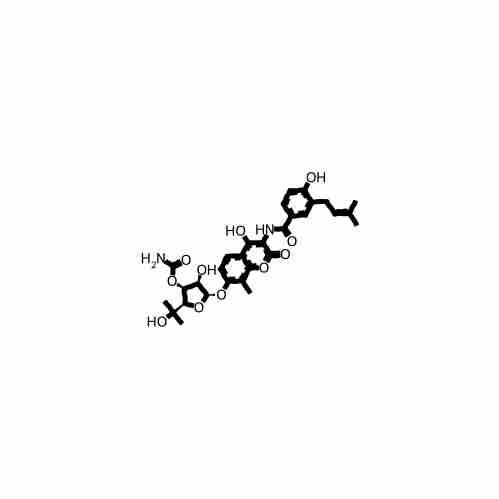 CC(C)=CCc1cc(C(=O)Nc2c(O)c3ccc(O[C@@H]4O[C@@H](C(C)(C)O)[C@@H](OC(N)=O)[C@H]4O)c(C)c3oc2=O)ccc1O